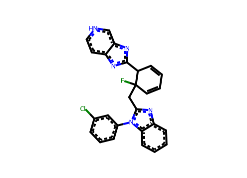 FC1(Cc2nc3ccccc3n2-c2cccc(Cl)c2)C=CC=CC1c1nc2cc[nH]cc-2n1